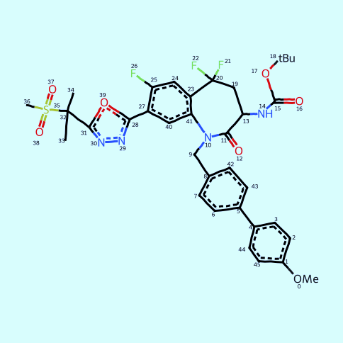 COc1ccc(-c2ccc(CN3C(=O)C(NC(=O)OC(C)(C)C)CC(F)(F)c4cc(F)c(-c5nnc(C(C)(C)S(C)(=O)=O)o5)cc43)cc2)cc1